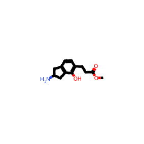 COC(=O)CCc1ccc2c(c1O)CC(N)C2